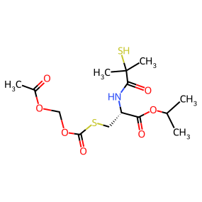 CC(=O)OCOC(=O)SC[C@H](NC(=O)C(C)(C)S)C(=O)OC(C)C